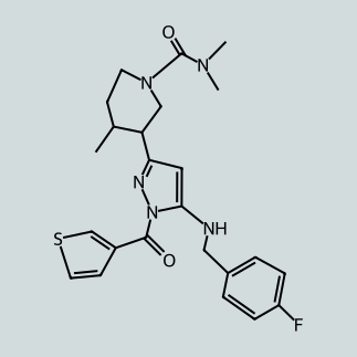 CC1CCN(C(=O)N(C)C)CC1c1cc(NCc2ccc(F)cc2)n(C(=O)c2ccsc2)n1